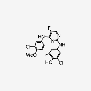 COc1ccc(Nc2nc(Nc3cc(C)c(O)c(Cl)c3)ncc2F)cc1Cl